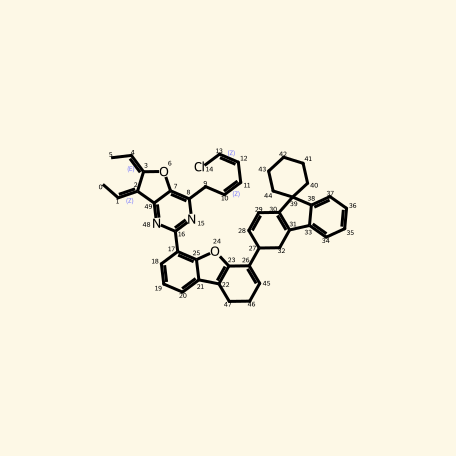 C/C=c1\c(=C/C)oc2c(C/C=C\C=C/Cl)nc(-c3cccc4c5c(oc34)C(C3C=CC4=C(C3)c3ccccc3C43CCCCC3)=CCC5)nc12